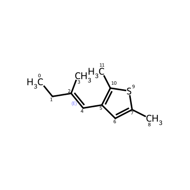 CC/C(C)=C/c1cc(C)sc1C